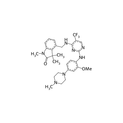 COc1cc(N2CCN(C)CC2)ccc1Nc1ncc(C(F)(F)F)c(NCc2cccc3c2C(C)(C)C(=O)N3C)n1